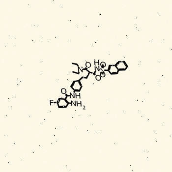 CCN(CC)C(=O)C(CCc1ccc(NC(=O)c2cc(F)ccc2N)cc1)C(=O)NS(=O)(=O)c1ccc2ccccc2c1